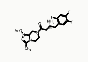 CC(=O)ON1N=C(C(F)(F)F)N2CCN(C(=O)C[C@H](N)Cc3cc(F)c(F)cc3F)CC12